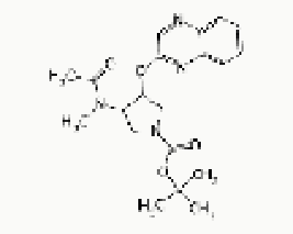 CC(=O)N(C)C1CN(C(=O)OC(C)(C)C)CC1Oc1cnc2ccccc2n1